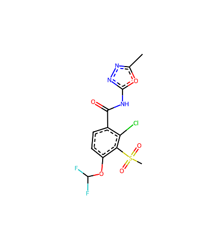 Cc1nnc(NC(=O)c2ccc(OC(F)F)c(S(C)(=O)=O)c2Cl)o1